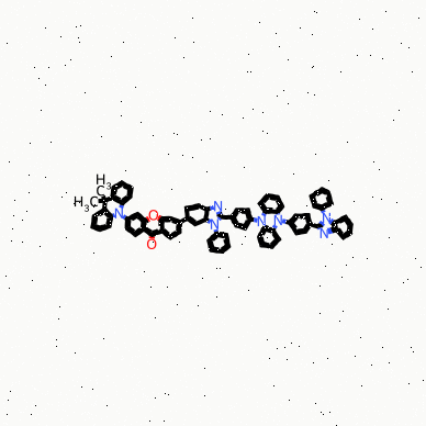 CC1(C)c2ccccc2N(c2ccc3c(=O)c4ccc(C5=CC6C(C=C5)N=C(c5ccc(N7c8ccccc8N(c8ccc(-c9nc%10ccccc%10n9-c9ccccc9)cc8)c8ccccc87)cc5)N6c5ccccc5)cc4oc3c2)c2ccccc21